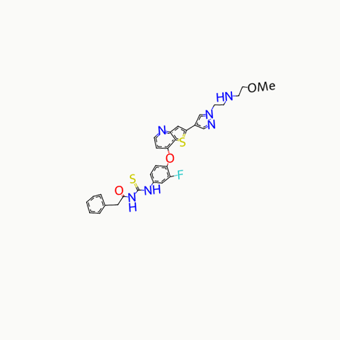 COCCNCCn1cc(-c2cc3nccc(Oc4ccc(NC(=S)NC(=O)Cc5ccccc5)cc4F)c3s2)cn1